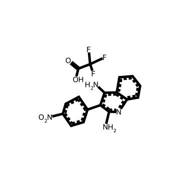 Nc1nc2ccccc2c(N)c1-c1ccc([N+](=O)[O-])cc1.O=C(O)C(F)(F)F